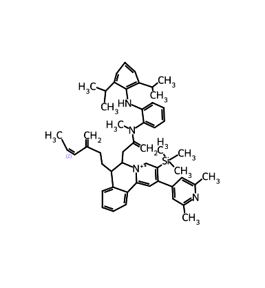 C=C(/C=C\C)CCC1c2ccccc2-c2cc(-c3cc(C)nc(C)c3)c([Si](C)(C)C)c[n+]2C1CC(=C)N(C)c1ccccc1Nc1c(C(C)C)cccc1C(C)C